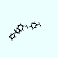 COc1ccc(COc2ccc3oc(-n4ccnc4)nc3c2)nc1